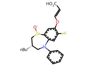 CCCC[C@H]1CN(c2ccccc2)c2cc(F)c(O/C=C/C(=O)O)cc2[S+]([O-])C1